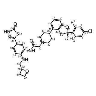 CC1(c2ccc(Cl)cc2F)Oc2cccc(C3CCN(CC(=O)Nc4cc(-c5n[nH]c(=O)s5)ccc4NC[C@@H]4CCO4)CC3)c2O1